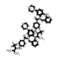 CC(C)[C@H](N[C@H]1CC[C@@H](C(=O)N2Cc3cccnc3N(C(C)[C@@H](N[C@H]3CC[C@H](C(=O)N4Cc5cccnc5Nc5ccc(N6CCOCC6)cc54)CC3)C(F)(F)F)c3ccc(N4CCOCC4)cc32)CC1)C(F)(F)F